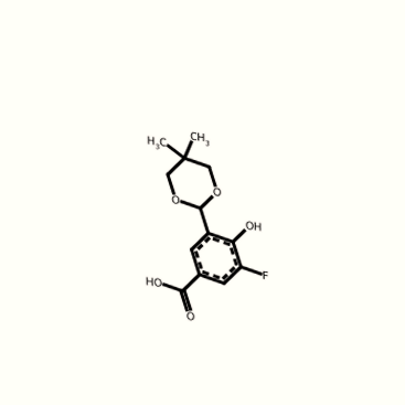 CC1(C)COC(c2cc(C(=O)O)cc(F)c2O)OC1